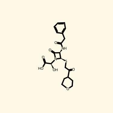 O=C(Cc1ccccc1)N[C@@H]1C(=O)N([C@@H](O)C(=O)O)[C@@H]1SCC(=O)C1CCOCC1